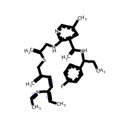 C=C(\C=C/C(=C\C)/N=C\C)CSC(=C)CNc1ncc(C)cc1C(=C)NC(CC)c1ccc(F)cc1